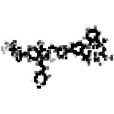 CC(C)CS(=O)(=O)c1ccccc1Oc1ccc(-c2noc(CN3C(=O)N(CCC4CCOCC4)C4(CCN(C(=O)OC(C)(C)C)CC4)C3=O)n2)cc1C(F)(F)F